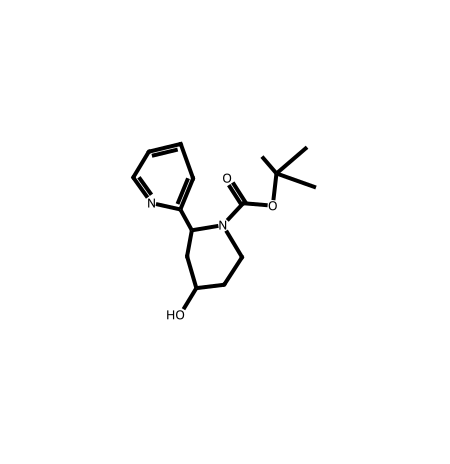 CC(C)(C)OC(=O)N1CCC(O)CC1c1ccccn1